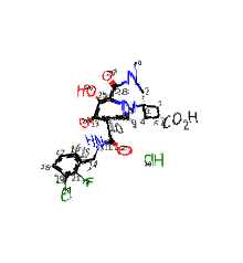 CN1C[C@]2(C[C@@H](C(=O)O)C2)n2cc(C(=O)NCc3cccc(Cl)c3F)c(=O)c(O)c2C1=O.Cl